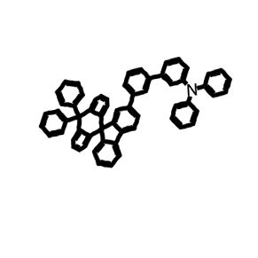 c1ccc(N(c2ccccc2)c2cccc(-c3cccc(-c4ccc5c(c4)C4(c6ccccc6-5)c5ccccc5C(c5ccccc5)(c5ccccc5)c5ccccc54)c3)c2)cc1